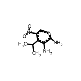 CC(C)c1c([N+](=O)[O-])cnc(N)c1N